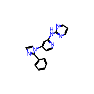 c1ccc(-c2nccn2-c2ccnc(Nc3ncccn3)c2)cc1